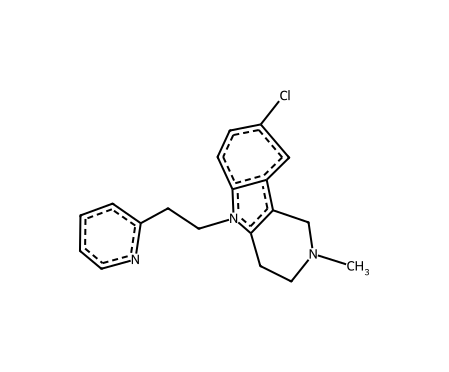 CN1CCc2c(c3cc(Cl)ccc3n2CCc2ccccn2)C1